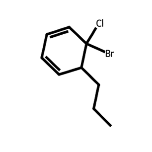 CCCC1C=CC=CC1(Cl)Br